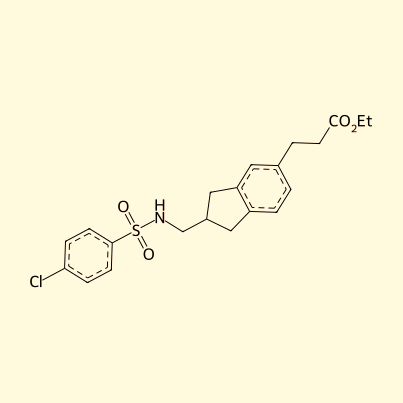 CCOC(=O)CCc1ccc2c(c1)CC(CNS(=O)(=O)c1ccc(Cl)cc1)C2